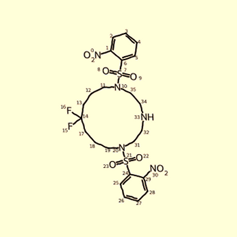 O=[N+]([O-])c1ccccc1S(=O)(=O)N1CCCC(F)(F)CCCN(S(=O)(=O)c2ccccc2[N+](=O)[O-])CCNCC1